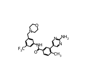 Cc1ccc(C(=O)Nc2cc(CN3CCOCC3)cc(C(F)(F)F)c2)cc1-c1cnc(N)nc1